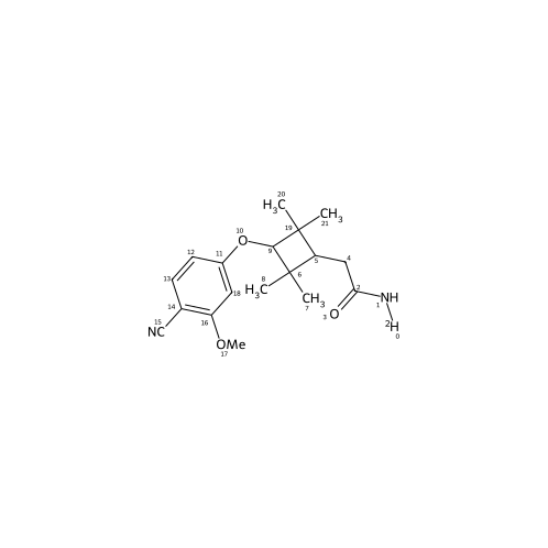 [2H]NC(=O)CC1C(C)(C)C(Oc2ccc(C#N)c(OC)c2)C1(C)C